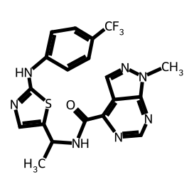 CC(NC(=O)c1ncnc2c1cnn2C)c1cnc(Nc2ccc(C(F)(F)F)cc2)s1